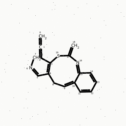 C=C=C/C1=C(\C=N/C)C/C=c2/cccc/c2=N/C(=C)S1